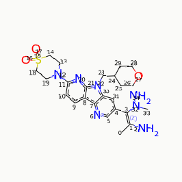 C/C(N)=C(\c1cnc2c3ccc(N4CCS(=O)(=O)CC4)nc3n(CC3CCOCC3)c2c1)N(C)N